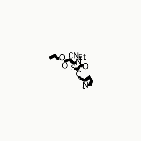 C=CCOC(=O)/C(C#N)=c1\sc(=C=Cc2cccn2C)c(=O)n1CC